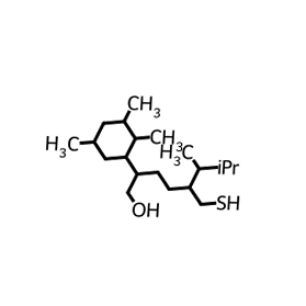 CC1CC(C)C(C)C(C(CO)CCC(CS)C(C)C(C)C)C1